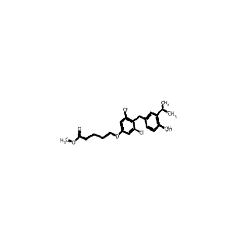 COC(=O)CCCCOc1cc(Cl)c(Cc2ccc(O)c(C(C)C)c2)c(Cl)c1